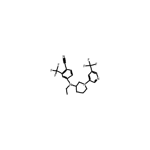 CCN(c1ccc(C#N)c(C(F)(F)F)c1)C1CCCN(c2cncc(C(F)(F)F)c2)C1